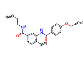 CCCCCCCCCCCOc1ccc(C(=O)Nc2cc(C(=O)NCCOC)ccc2SC)cc1